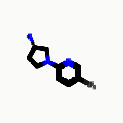 [N][C@H]1CCN(c2ccc(C(F)(F)F)cn2)C1